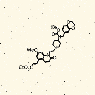 CCOC(=O)/C=C/c1cc(OC)cc2c1ccc(=O)n2CCN1CCC(N(Cc2ccc3c(c2)OCCO3)C(=O)OC(C)(C)C)CC1